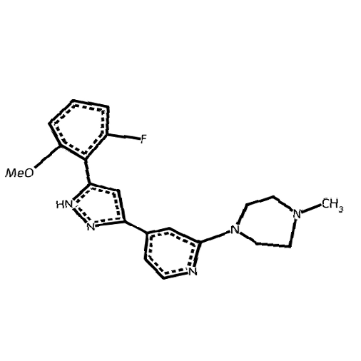 COc1cccc(F)c1-c1cc(-c2ccnc(N3CCN(C)CC3)c2)n[nH]1